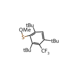 COSc1c(C(C)(C)C)cc(C(C)(C)C)c(C(F)(F)F)c1C(C)(C)C